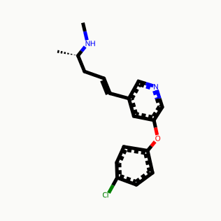 CN[C@@H](C)CC=Cc1cncc(Oc2ccc(Cl)cc2)c1